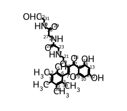 Cc1c(C)c(C)c(-c2oc3cc(O)cc(O)c3c(=O)c2OCNCC(=O)NCC(=O)NCC=O)c(C)c1C